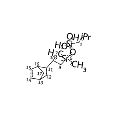 CC(C)C[Si](O)(O)O[Si](C)(C)CCC1CC2C=CC1C2